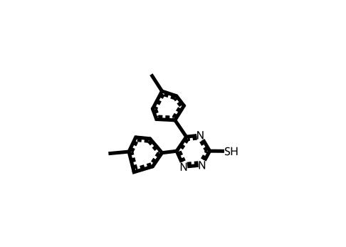 Cc1ccc(-c2nnc(S)nc2-c2ccc(C)cc2)cc1